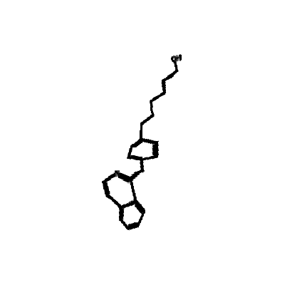 OCCCCCCc1ccc(Cc2nccc3ccccc23)cc1